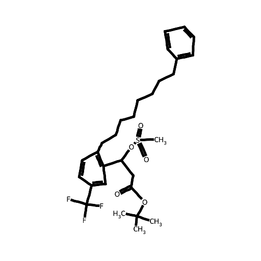 CC(C)(C)OC(=O)CC(OS(C)(=O)=O)c1cc(C(F)(F)F)ccc1CCCCCCCCc1ccccc1